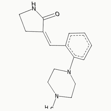 CN1CCN(c2ccccc2C=C2CCNC2=O)CC1